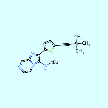 CC(C)(C)Nc1c(-c2ccc(C#C[Si](C)(C)C)s2)nc2cnccn12